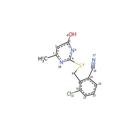 Cc1cc(O)nc(SCc2c(Cl)cccc2C#N)n1